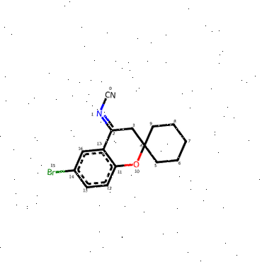 N#CN=C1CC2(CCCCC2)Oc2ccc(Br)cc21